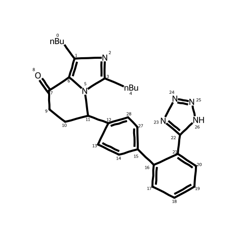 CCCCc1nc(CCCC)n2c1C(=O)CCC2c1ccc(-c2ccccc2-c2nnn[nH]2)cc1